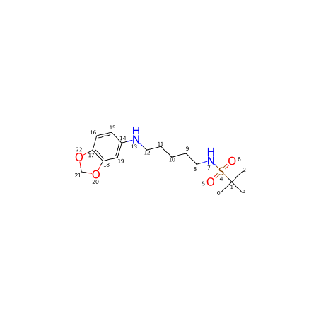 CC(C)(C)S(=O)(=O)NCCCCCNc1ccc2c(c1)OCO2